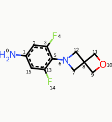 Nc1cc(F)c(N2CC3(COC3)C2)c(F)c1